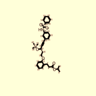 CC(C)OC(=O)CCc1ccccc1OCC[C@H](C#Cc1cccc(NS(=O)(=O)c2ccccc2)c1)O[Si](C)(C)C